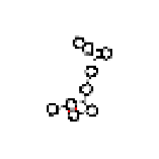 c1ccc(-c2ccc(N(c3ccc(-c4ccc(-n5c6ccccc6c6cc7ccccc7cc65)cc4)cc3)c3ccccc3-c3ccccc3)cc2)cc1